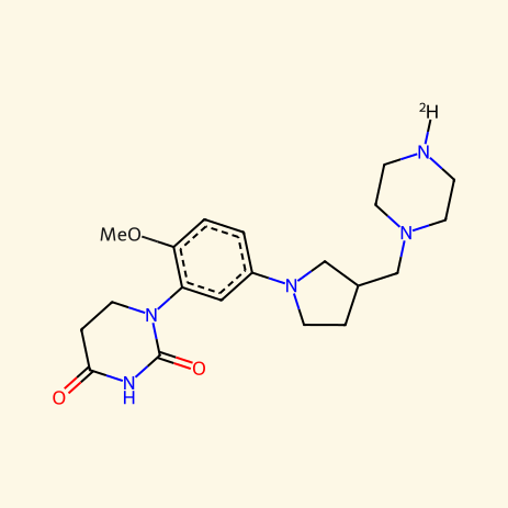 [2H]N1CCN(CC2CCN(c3ccc(OC)c(N4CCC(=O)NC4=O)c3)C2)CC1